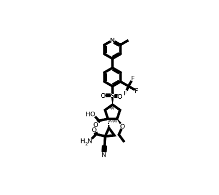 CCO[C@@H]1C[C@H](S(=O)(=O)c2ccc(-c3ccnc(C)c3)cc2C(F)(F)F)C[C@@]1(C(=O)O)C1CC1(C#N)C(N)=O